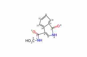 O=C(O)NC(=O)c1c[nH]c(=O)c2ccccc12